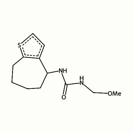 COCNC(=O)NC1CCCCc2sccc21